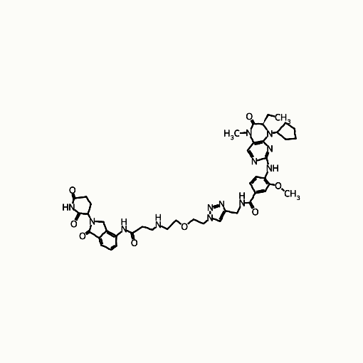 CC[C@@H]1C(=O)N(C)c2cnc(Nc3ccc(C(=O)NCc4cn(CCOCCNCCC(=O)Nc5cccc6c5CN(C5CCC(=O)NC5=O)C6=O)nn4)cc3OC)nc2N1C1CCCC1